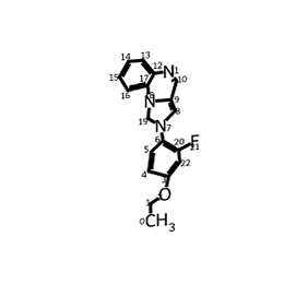 CCOc1ccc(N2C=C3C=Nc4ccccc4N3C2)c(F)c1